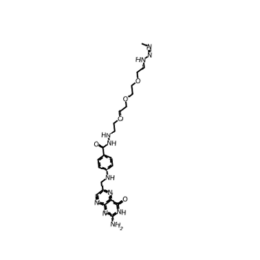 C/N=N\NCCOCCOCCOCCNNC(=O)c1ccc(NCc2cnc3nc(N)[nH]c(=O)c3n2)cc1